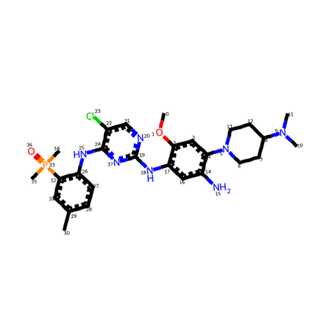 COc1cc(N2CCC(N(C)C)CC2)c(N)cc1Nc1ncc(Cl)c(Nc2ccc(C)cc2P(C)(C)=O)n1